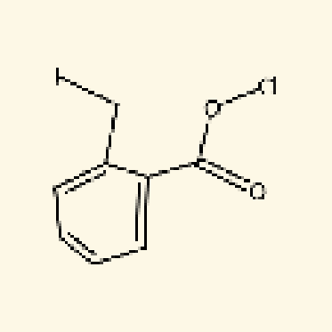 O=C(OCl)c1ccccc1CI